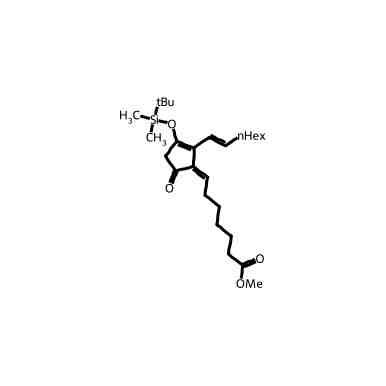 CCCCCCC=CC1=C(O[Si](C)(C)C(C)(C)C)CC(=O)C1=CCCCCCC(=O)OC